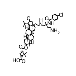 CC(C)C1=C2[C@H]3CC[C@@H]4[C@@]5(C)CC[C@H](OC(=O)[C@H]6C[C@@H](C(=O)O)C6(C)C)C(C)(C)[C@@H]5CC[C@@]4(C)[C@]3(C)CC[C@@]2(CCNCC(C)(CCN)NC(=O)c2ccc(Cl)cc2)CC1=O